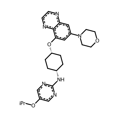 CC(C)Oc1cnc(N[C@H]2CC[C@@H](Oc3cc(N4CCOCC4)cc4nccnc34)CC2)nc1